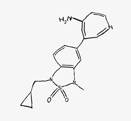 CN1c2cc(-c3cnccc3N)ccc2N(CC2CC2)S1(=O)=O